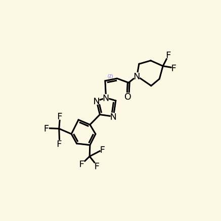 O=C(/C=C\n1cnc(-c2cc(C(F)(F)F)cc(C(F)(F)F)c2)n1)N1CCC(F)(F)CC1